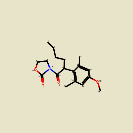 CCCCC(C(=O)N1CCOC1=O)c1c(C)cc(OC)cc1C